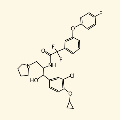 O=C(NC(CN1CCCC1)C(O)c1ccc(OC2CC2)c(Cl)c1)C(F)(F)c1cccc(Oc2ccc(F)cc2)c1